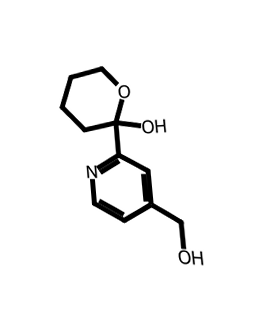 OCc1ccnc(C2(O)CCCCO2)c1